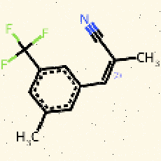 C/C(C#N)=C/c1cc(C)cc(C(F)(F)F)c1